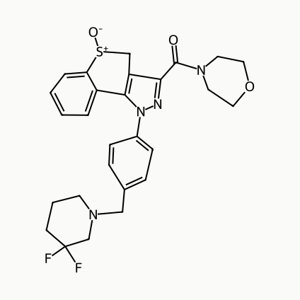 O=C(c1nn(-c2ccc(CN3CCCC(F)(F)C3)cc2)c2c1C[S+]([O-])c1ccccc1-2)N1CCOCC1